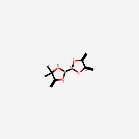 C=C1OB(B2OC(=C)C(C)(C)O2)OC1=C